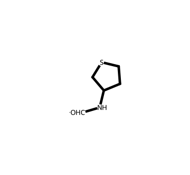 O=[C]NC1CCSC1